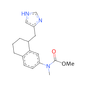 COC(=O)N(C)c1ccc2c(c1)C(Cc1c[nH]cn1)CCC2